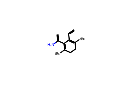 C=CC1=C(C(C)(C)C)CCC(C(C)(C)C)=C1C(=C)N